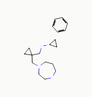 c1ccc([C@@H]2C[C@H]2NCC2(CN3CCCNCC3)CC2)cc1